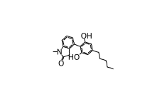 CCCCCc1cc(O)c(-c2cccc3c2CC(=O)N3C)c(O)c1